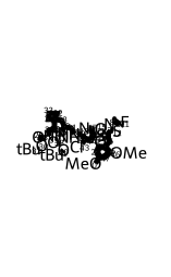 COc1ccc(CN(c2ncc(F)s2)S(=O)(=O)c2cnc(NCC(CC3(CCNC(=O)OC(C)(C)C)CCC3)[C@@H](C)NC(=O)OC(C)(C)C)c(Cl)c2)c(OC)c1